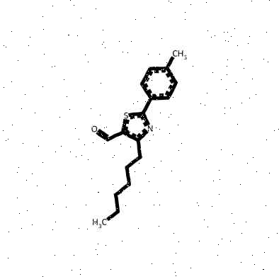 CCCCCCc1nc(-c2ccc(C)cc2)sc1C=O